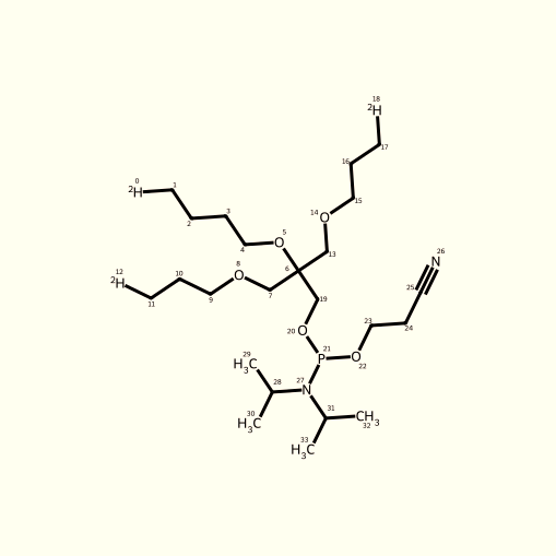 [2H]CCCCOC(COCCC[2H])(COCCC[2H])COP(OCCC#N)N(C(C)C)C(C)C